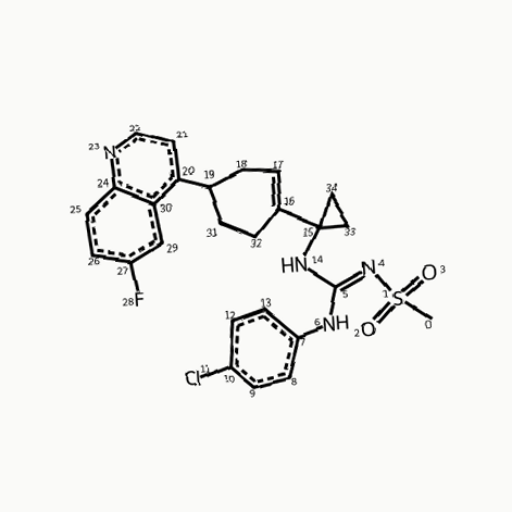 CS(=O)(=O)N=C(Nc1ccc(Cl)cc1)NC1(C2=CCC(c3ccnc4ccc(F)cc34)CC2)CC1